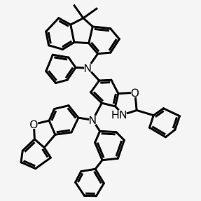 CC1(C)c2ccccc2-c2c(N(c3ccccc3)c3cc4c(c(N(c5cccc(-c6ccccc6)c5)c5ccc6oc7ccccc7c6c5)c3)NC(c3ccccc3)O4)cccc21